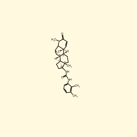 Cc1cccc(NC(=O)NC2CC[C@H]3[C@@H]4CCC5N(C)C(=O)C=C[C@]5(C)[C@@H]4CC[C@]23C)c1C